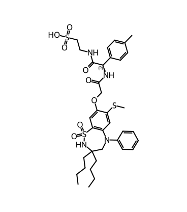 CCCCC1(CCCC)CN(c2ccccc2)c2cc(SC)c(OCC(=O)N[C@@H](C(=O)NCCS(=O)(=O)O)c3ccc(C)cc3)cc2S(=O)(=O)N1